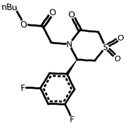 CCCCOC(=O)CN1C(=O)CS(=O)(=O)C[C@H]1c1cc(F)cc(F)c1